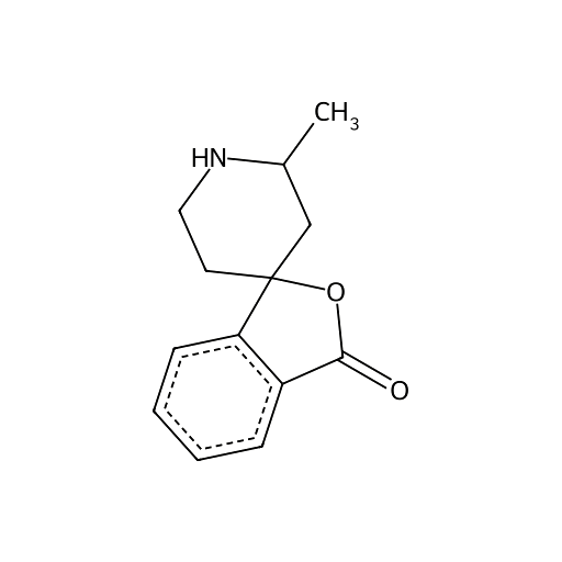 CC1CC2(CCN1)OC(=O)c1ccccc12